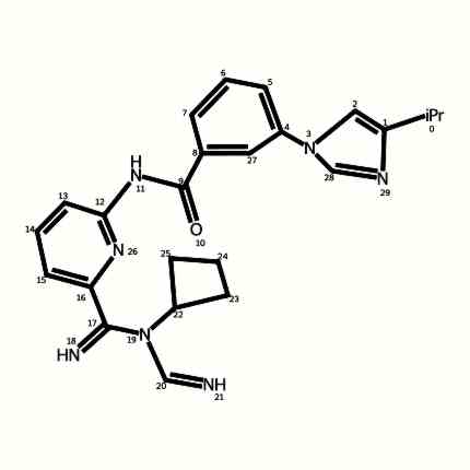 CC(C)c1cn(-c2cccc(C(=O)Nc3cccc(C(=N)N(C=N)C4CCC4)n3)c2)cn1